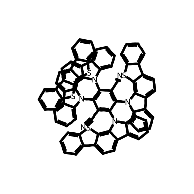 N#Cc1c(-n2c3ccccc3c3ccc4c5ccccc5sc4c32)c(-n2c3ccccc3c3ccc4c5ccccc5sc4c32)c(C#N)c(-n2c3ccccc3c3ccc4c5ccccc5sc4c32)c1-n1c2ccccc2c2ccc3c4ccccc4sc3c21